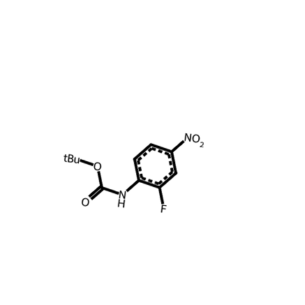 CC(C)(C)OC(=O)Nc1ccc([N+](=O)[O-])cc1F